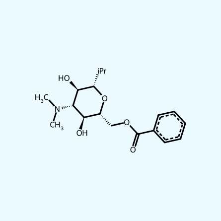 CC(C)[C@@H]1O[C@H](COC(=O)c2ccccc2)[C@@H](O)[C@H](N(C)C)[C@H]1O